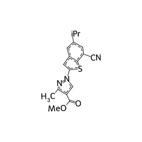 COC(=O)c1cn(-c2cc3cc(C(C)C)cc(C#N)c3s2)nc1C